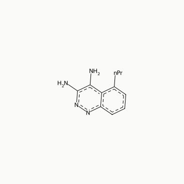 CCCc1cccc2nnc(N)c(N)c12